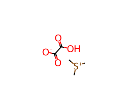 C[S+](C)C.O=C([O-])C(=O)O